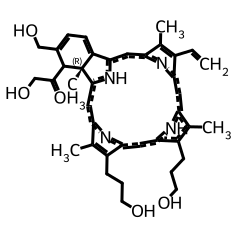 C=CC1=C(C)c2cc3[nH]c(cc4nc(cc5[nH]c(cc1n2)c(C)c5CCCO)C(CCCO)=C4C)[C@@]1(C)C3=CC=C(CO)C1C(=O)CO